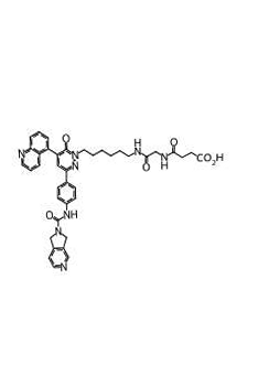 O=C(O)CCC(=O)NCC(=O)NCCCCCCn1nc(-c2ccc(NC(=O)N3Cc4ccncc4C3)cc2)cc(-c2cccc3ncccc23)c1=O